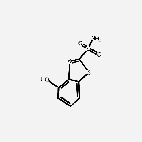 NS(=O)(=O)c1nc2c(O)cccc2s1